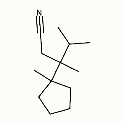 CC(C)C(C)(CC#N)C1(C)CCCC1